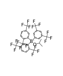 CC(C)O[B-](c1cc(C(F)(F)F)cc(C(F)(F)F)c1)(c1cc(C(F)(F)F)ccc1C(F)(F)F)c1cc(C(F)(F)F)ccc1C(F)(F)F